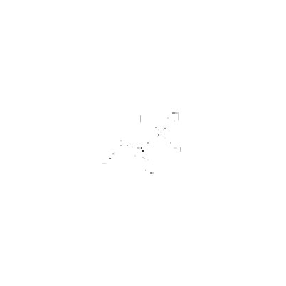 CCOC(=O)C(Cl)(CC)CC